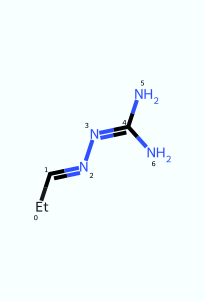 CC/C=N/N=C(N)N